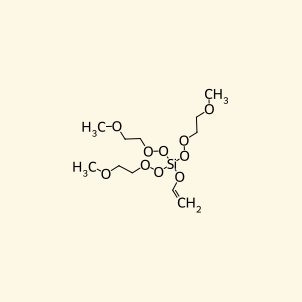 C=CO[Si](OOCCOC)(OOCCOC)OOCCOC